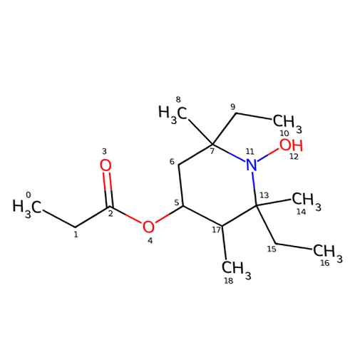 CCC(=O)OC1CC(C)(CC)N(O)C(C)(CC)C1C